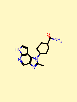 Cc1nc2cnc3[nH]ccc3c2n1C1CCC(C(N)=O)CC1